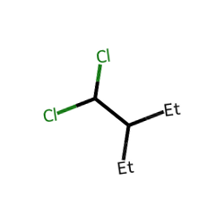 CCC(CC)C(Cl)Cl